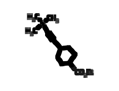 CCOC(=O)C1CCC(C#C[Si](C)(C)C)CC1